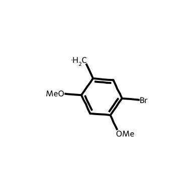 [CH2]c1cc(Br)c(OC)cc1OC